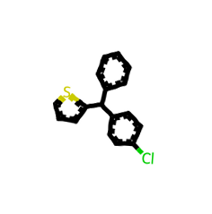 Clc1ccc(C(c2ccccc2)c2cccs2)cc1